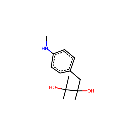 CNc1ccc(CC(C)(O)C(C)(C)O)cc1